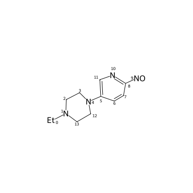 CCN1CCN(c2ccc(N=O)nc2)CC1